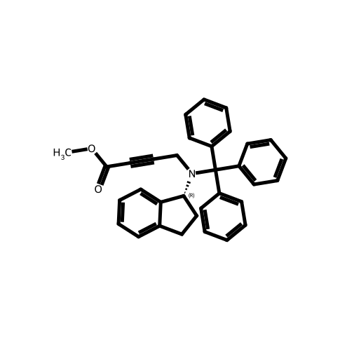 COC(=O)C#CCN([C@@H]1CCc2ccccc21)C(c1ccccc1)(c1ccccc1)c1ccccc1